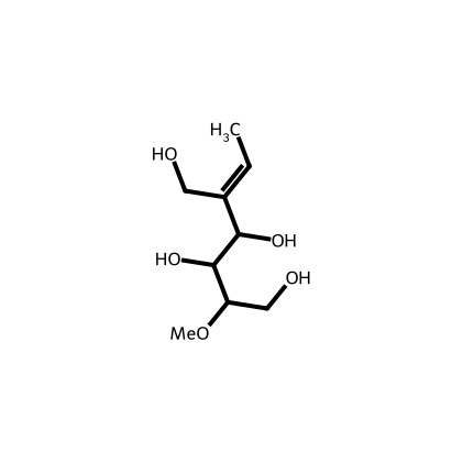 CC=C(CO)C(O)C(O)C(CO)OC